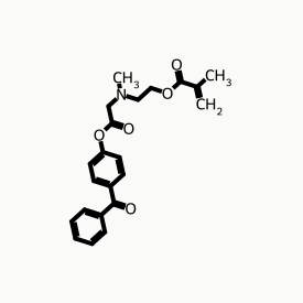 C=C(C)C(=O)OCCN(C)CC(=O)Oc1ccc(C(=O)c2ccccc2)cc1